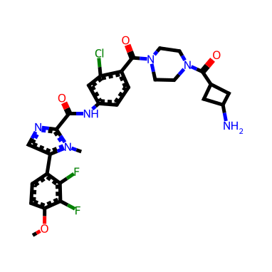 COc1ccc(-c2cnc(C(=O)Nc3ccc(C(=O)N4CCN(C(=O)C5CC(N)C5)CC4)c(Cl)c3)n2C)c(F)c1F